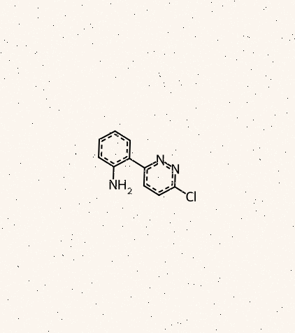 Nc1ccccc1-c1ccc(Cl)nn1